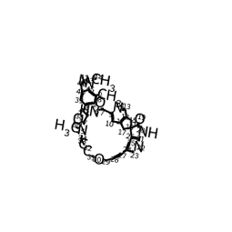 Cc1cc(CC2NC(=O)c3cc4c(cn3)CC3(C4)C(=O)Nc4ncc(cc43)C=CCOCCCCN(C)C2=O)cc2cnn(C)c12